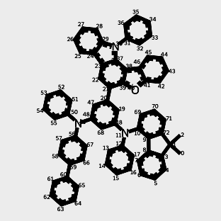 CC1(C)c2ccccc2-c2c(N(c3ccccc3)c3cc(-c4cc5c6ccccc6n(-c6ccccc6)c5c5c4oc4ccccc45)cc(N(c4ccccc4)c4ccc(-c5ccccc5)cc4)c3)cccc21